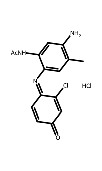 CC(=O)Nc1cc(N)c(C)cc1N=C1C=CC(=O)C=C1Cl.Cl